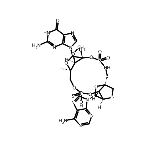 CO[C@H]1[C@H]2OS(=O)(=O)NC[C@@]34CO[C@@H]([C@H](n5cnc6c(N)ncnc65)O3)[C@@H]4OP(O)(=S)OC[C@H]1O[C@H]2n1cnc2c(=O)[nH]c(N)nc21